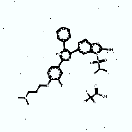 CC(C)S(=O)(=O)n1c(N)nc2ccc(-c3nc(-c4ccc(OCCCN(C)C)c(F)c4)[nH]c3-c3ccccc3)cc21.O=C(O)C(F)(F)F